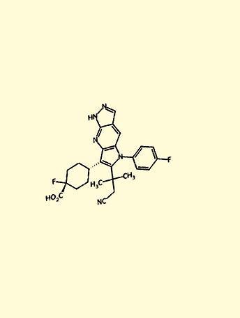 CC(C)(CC#N)c1c([C@H]2CC[C@](F)(C(=O)O)CC2)c2nc3[nH]ncc3cc2n1-c1ccc(F)cc1